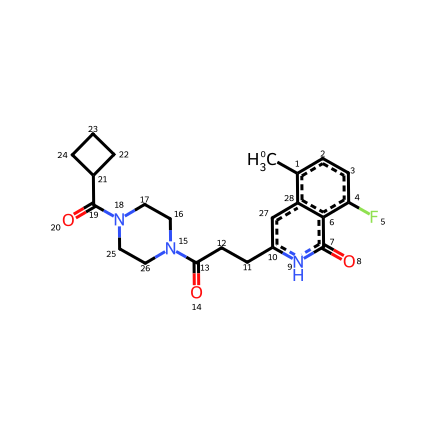 Cc1ccc(F)c2c(=O)[nH]c(CCC(=O)N3CCN(C(=O)C4CCC4)CC3)cc12